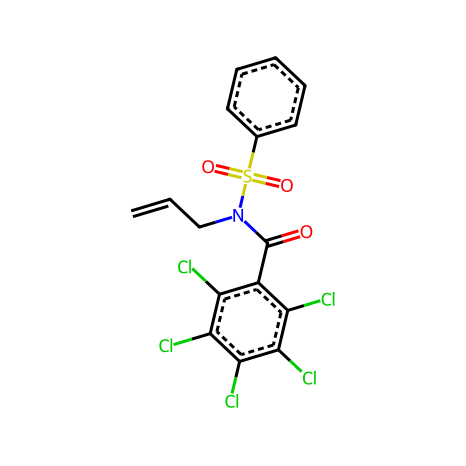 C=CCN(C(=O)c1c(Cl)c(Cl)c(Cl)c(Cl)c1Cl)S(=O)(=O)c1ccccc1